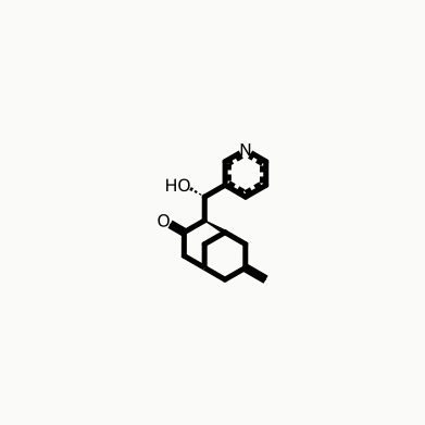 C=C1CC2CC(=O)[C@@H]([C@H](O)c3cccnc3)C(C1)C2